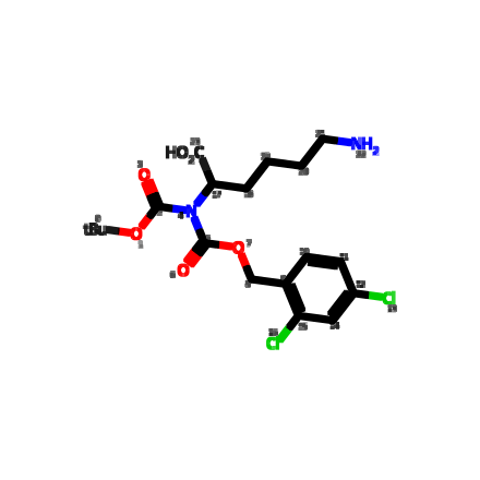 CC(C)(C)OC(=O)N(C(=O)OCc1ccc(Cl)cc1Cl)C(CCCCN)C(=O)O